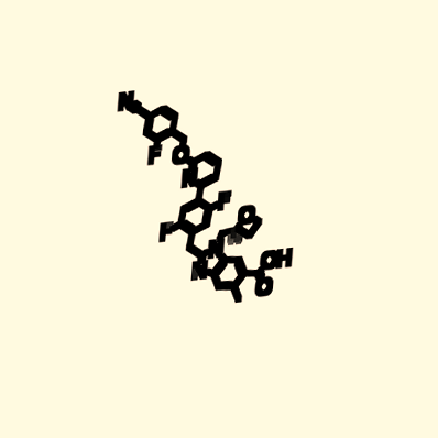 Cc1cc2nc(Cc3cc(F)c(-c4cccc(OCc5ccc(C#N)cc5F)n4)cc3F)n(C[C@@H]3CCO3)c2cc1C(=O)O